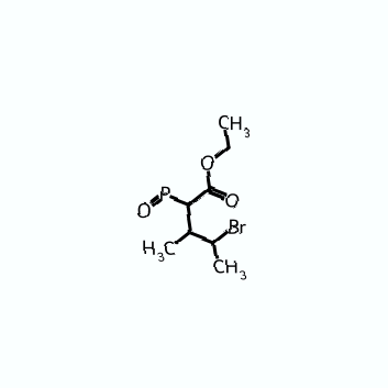 CCOC(=O)C(P=O)C(C)C(C)Br